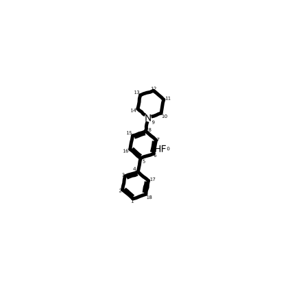 F.c1ccc(-c2ccc(N3CCCCC3)cc2)cc1